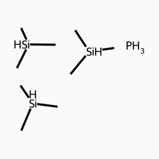 C[SiH](C)C.C[SiH](C)C.C[SiH](C)C.P